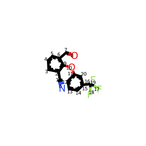 N#Cc1cccc(C=O)c1Oc1cccc(C(F)(F)F)c1